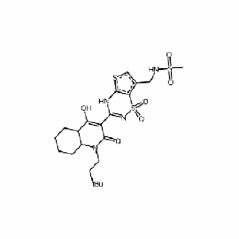 CC(C)(C)CCN1C(=O)C(C2=NS(=O)(=O)c3c(CNS(C)(=O)=O)csc3N2)=C(O)C2CCCCC21